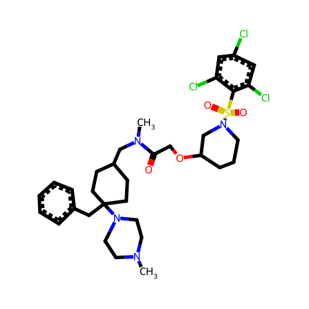 CN1CCN(C2(Cc3ccccc3)CCC(CN(C)C(=O)COC3CCCN(S(=O)(=O)c4c(Cl)cc(Cl)cc4Cl)C3)CC2)CC1